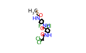 CSCC(=O)Nc1ccc(NC(=O)c2cc(NC(=O)C3CC3(Cl)Cl)ccc2Cl)c(F)c1